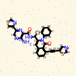 CC(NC(=O)c1nc(-c2cscn2)cnc1N)c1cc2cccc(C#Cc3cncs3)c2c(=O)n1-c1ccccc1